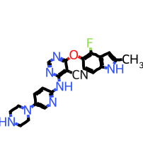 Cc1cc2c(F)c(Oc3ncnc(Nc4ccc(N5CCNCC5)cn4)c3C#N)ccc2[nH]1